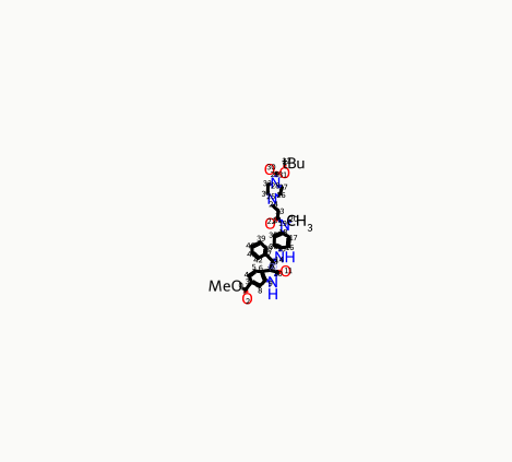 COC(=O)c1ccc2c(c1)NC(=O)/C2=C(\Nc1ccc(N(C)C(=O)CCN2CCN(C(=O)OC(C)(C)C)CC2)cc1)c1ccccc1